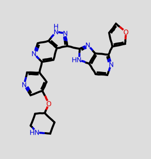 c1cc2[nH]c(-c3n[nH]c4cnc(-c5cncc(OC6CCNCC6)c5)cc34)nc2c(-c2ccoc2)n1